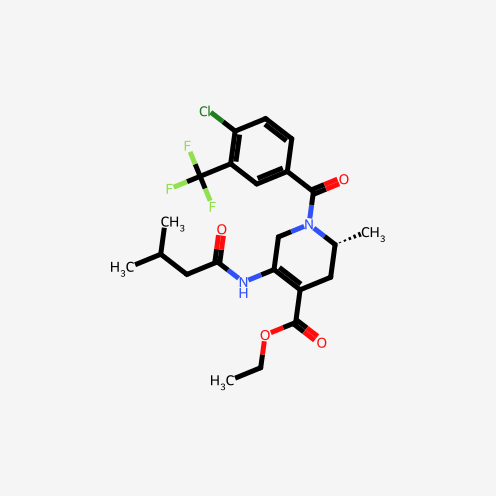 CCOC(=O)C1=C(NC(=O)CC(C)C)CN(C(=O)c2ccc(Cl)c(C(F)(F)F)c2)[C@H](C)C1